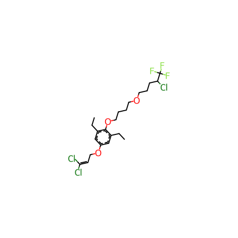 CCc1cc(OCC=C(Cl)Cl)cc(CC)c1OCCCCOCCCC(Cl)C(F)(F)F